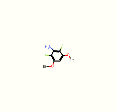 CCOc1cc(OCC)c(F)c(N)c1F